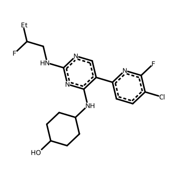 CCC(F)CNc1ncc(-c2ccc(Cl)c(F)n2)c(NC2CCC(O)CC2)n1